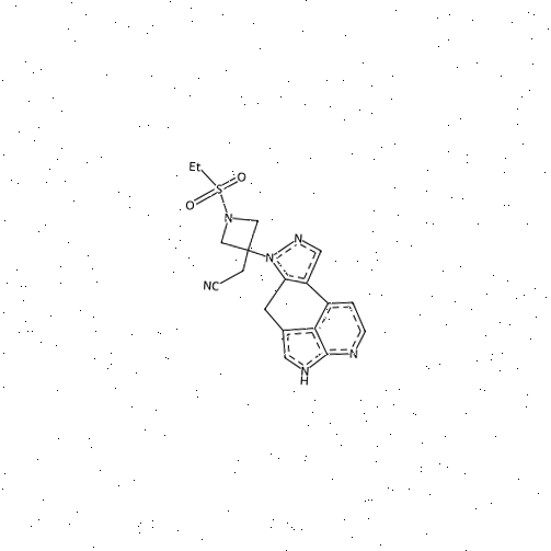 CCS(=O)(=O)N1CC(CC#N)(n2ncc3c2Cc2c[nH]c4nccc-3c24)C1